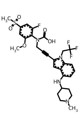 COc1cc(S(C)(=O)=O)cc(F)c1N(CC#Cc1cc2c(NC3CCN(C)CC3)cccc2n1CC(F)(F)F)C(=O)O